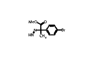 COC(=O)C(C)(N=N)c1ccc(Br)cc1